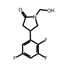 O=C1CC(c2cc(F)cc(F)c2F)CN1CO